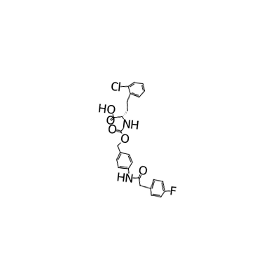 O=C(Cc1ccc(F)cc1)Nc1ccc(COC(=O)N[C@@H](CCc2ccccc2Cl)C(=O)O)cc1